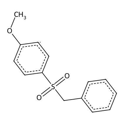 COc1[c]cc(S(=O)(=O)Cc2ccccc2)cc1